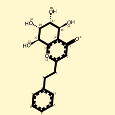 O=c1cc(CCc2ccccc2)oc2c1[C@H](O)[C@@H](O)[C@@H](O)[C@@H]2O